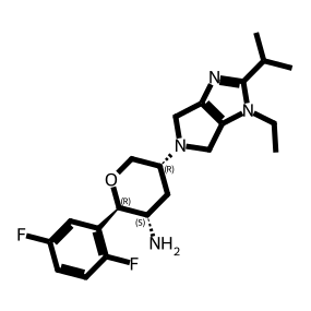 CCn1c(C(C)C)nc2c1CN([C@H]1CO[C@H](c3cc(F)ccc3F)[C@@H](N)C1)C2